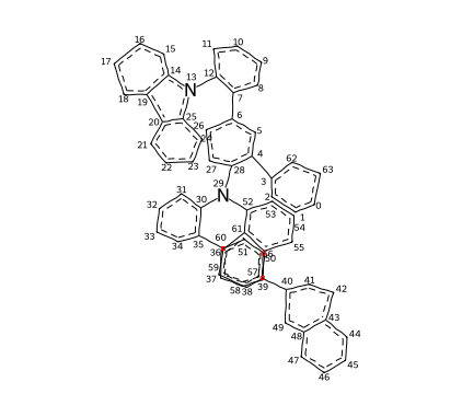 c1ccc(-c2cc(-c3ccccc3-n3c4ccccc4c4ccccc43)ccc2N(c2ccccc2-c2ccc(-c3ccc4ccccc4c3)cc2)c2cccc3ccccc23)cc1